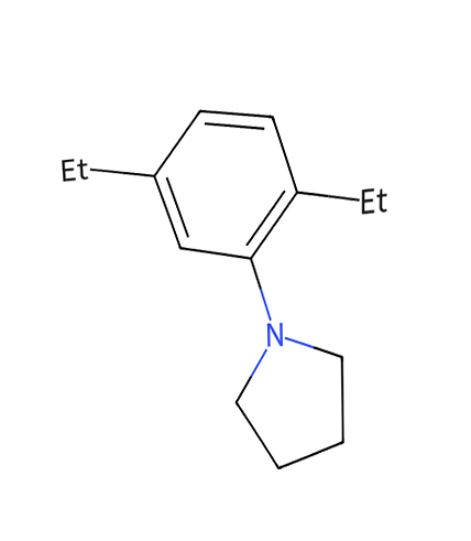 CCc1ccc(CC)c(N2CCCC2)c1